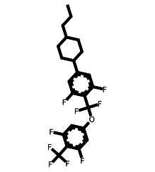 CCCC1CCC(c2cc(F)c(C(F)(F)Oc3cc(F)c(C(F)(F)F)c(F)c3)c(F)c2)CC1